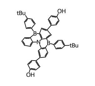 CC(C)(C)c1ccc(B2c3ccccc3N3c4cc(-c5ccc(O)cc5)ccc4B(c4ccc(C(C)(C)C)cc4)c4cc(-c5ccc(O)cc5)cc2c43)cc1